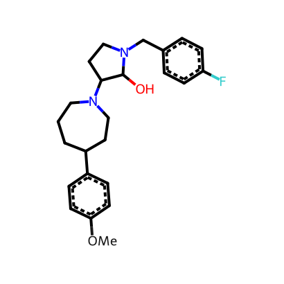 COc1ccc(C2CCCN(C3CCN(Cc4ccc(F)cc4)C3O)CC2)cc1